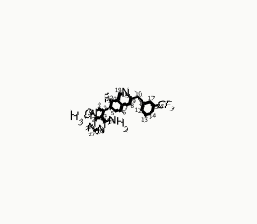 Cn1cc(-c2ccc3cc(Cc4cccc(C(F)(F)F)c4)ncc3c2F)c2c(N)ncnc21